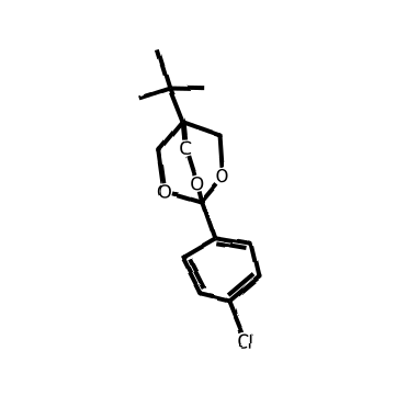 CC(C)(C)C12COC(c3ccc(Cl)cc3)(OC1)OC2